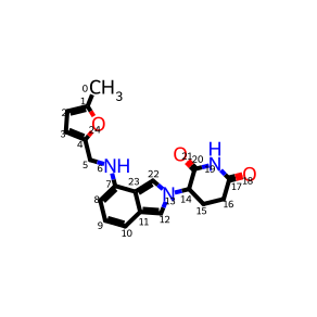 Cc1ccc(CNc2cccc3cn(C4CCC(=O)NC4=O)cc23)o1